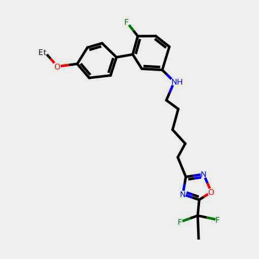 CCOc1ccc(-c2cc(NCCCCCc3noc(C(C)(F)F)n3)ccc2F)cc1